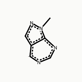 Cn1ncc2[c]ncnc21